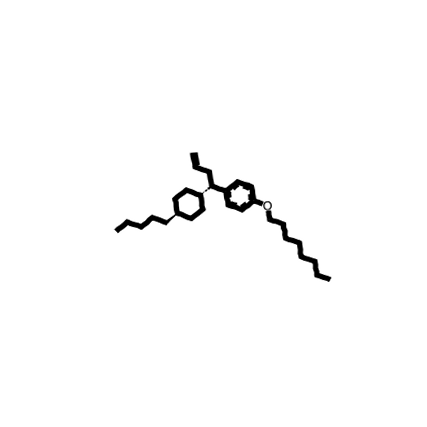 C=CCC(c1ccc(OCCCCCCCC)cc1)[C@H]1CC[C@H](CCCCC)CC1